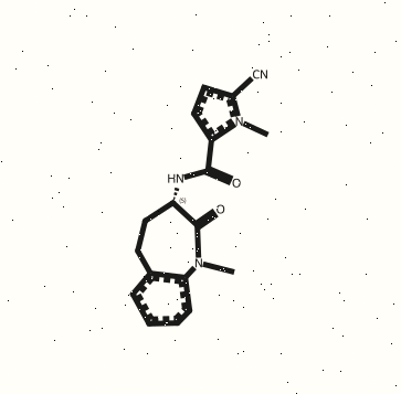 CN1C(=O)[C@@H](NC(=O)c2ccc(C#N)n2C)CCc2ccccc21